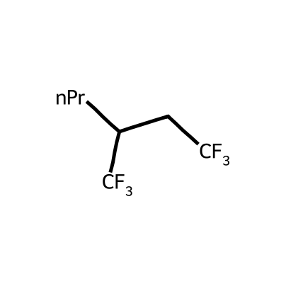 CCCC(CC(F)(F)F)C(F)(F)F